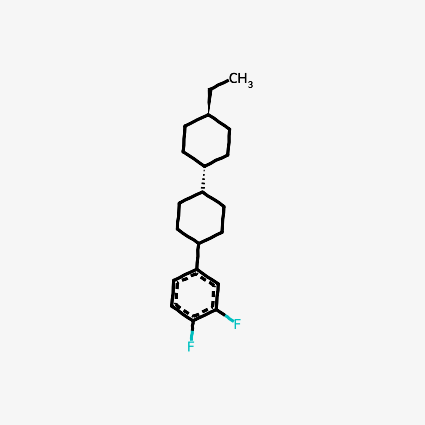 CC[C@H]1CC[C@H](C2CCC(c3ccc(F)c(F)c3)CC2)CC1